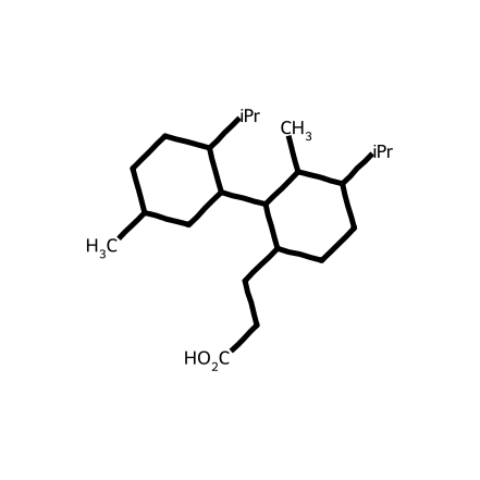 CC1CCC(C(C)C)C(C2C(CCC(=O)O)CCC(C(C)C)C2C)C1